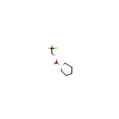 O=C(OCC(F)(F)F)N1CCCCC1